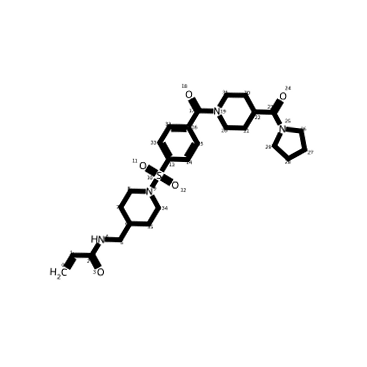 C=CC(=O)NCC1CCN(S(=O)(=O)c2ccc(C(=O)N3CCC(C(=O)N4CCCC4)CC3)cc2)CC1